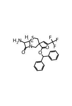 NC1C(=O)N2CC(C=CC(F)(F)F)(C(=O)OC(c3ccccc3)c3ccccc3)CS[C@H]12